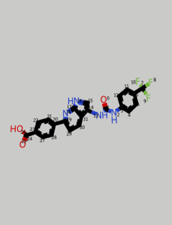 O=C(Nc1ccc(C(F)(F)F)cc1)Nc1c[nH]c2nc(-c3ccc(C(=O)O)cc3)ccc12